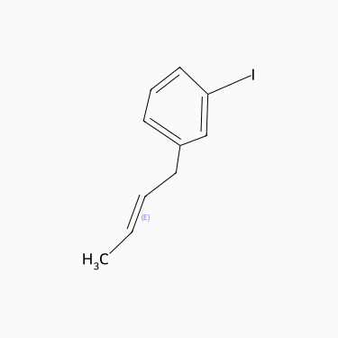 C/C=C/Cc1cccc(I)c1